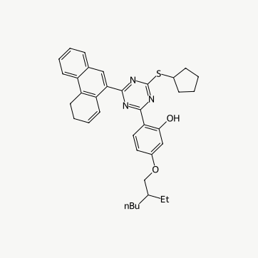 CCCCC(CC)COc1ccc(-c2nc(SC3CCCC3)nc(-c3cc4ccccc4c4c3C=CCC4)n2)c(O)c1